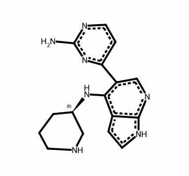 Nc1nccc(-c2cnc3[nH]ccc3c2N[C@@H]2CCCNC2)n1